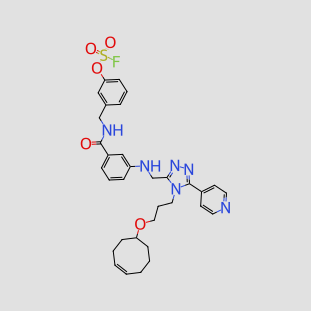 O=C(NCc1cccc(OS(=O)(=O)F)c1)c1cccc(NCc2nnc(-c3ccncc3)n2CCCOC2CC/C=C\CCC2)c1